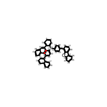 c1ccc(N(c2ccc(-c3cccc4ccccc34)cc2)c2ccc(-c3cccc4c3oc3ccccc34)cc2)c(-c2ccc3ccccc3c2)c1